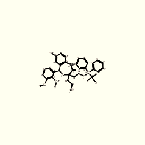 COc1cccc(C2SC(CCO)(CCO[Si](c3ccccc3)(c3ccccc3)C(C)(C)C)C(=O)Nc3ccc(Cl)cc32)c1OC